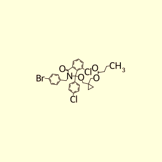 CCCC(=O)OCC1(COC2(c3ccc(Cl)cc3)c3c(Cl)cccc3C(=O)N2Cc2ccc(Br)cc2)CC1